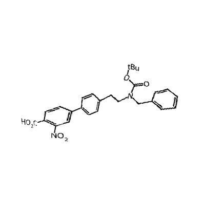 CC(C)(C)OC(=O)N(CCc1ccc(-c2ccc(C(=O)O)c([N+](=O)[O-])c2)cc1)Cc1ccccc1